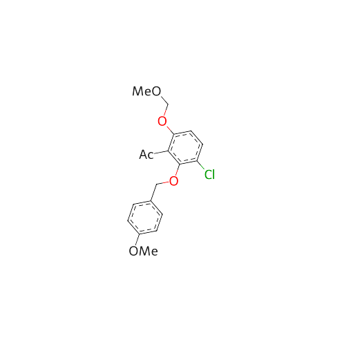 COCOc1ccc(Cl)c(OCc2ccc(OC)cc2)c1C(C)=O